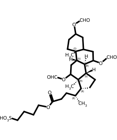 C[C@H](CCC(=O)OCCCCS(=O)(=O)O)[C@H]1CC[C@H]2[C@@H]3C(OC=O)CC4CC(OC=O)CC[C@]4(C)[C@H]3CC(OC=O)[C@]12C